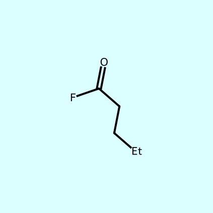 [CH2]CCCC(=O)F